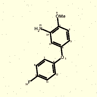 COc1ccc(Oc2ccc(F)cc2)cc1N